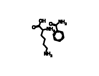 NC(=O)c1ccccc1.NCCCCC(N)C(=O)O